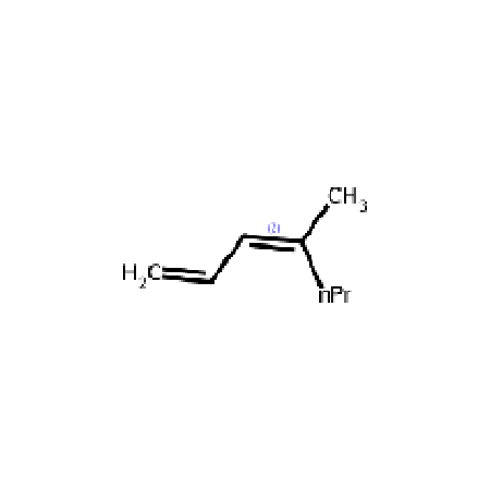 C=C/C=C(/C)CCC